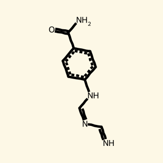 N=C/N=C\Nc1ccc(C(N)=O)cc1